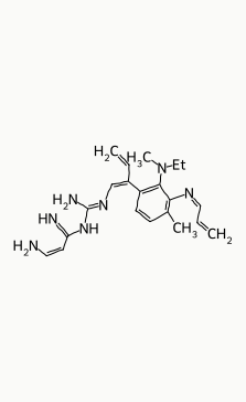 C=C/C=N\c1c(C)ccc(/C(C=C)=C\N=C(/N)NC(=N)/C=C\N)c1N(C)CC